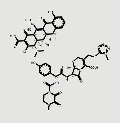 CCN1CCN(C(=O)N[C@@H](C(=O)N[C@@H]2C(=O)N3C(C(=O)O)=C(CSc4nnnn4C)CS[C@H]23)c2ccc(O)cc2)C(=O)C1=O.C[C@H]1c2cccc(O)c2C(=O)C2=C(O)[C@]3(O)C(=O)C(C(N)=O)=C(O)[C@@H](N(C)C)[C@@H]3[C@@H](O)[C@@H]21.O